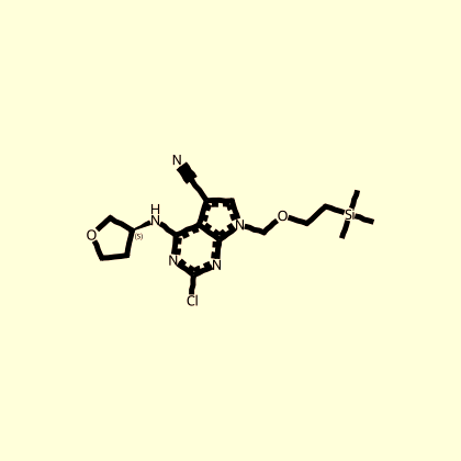 C[Si](C)(C)CCOCn1cc(C#N)c2c(N[C@H]3CCOC3)nc(Cl)nc21